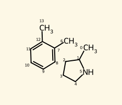 CC1CCCN1.Cc1ccccc1C